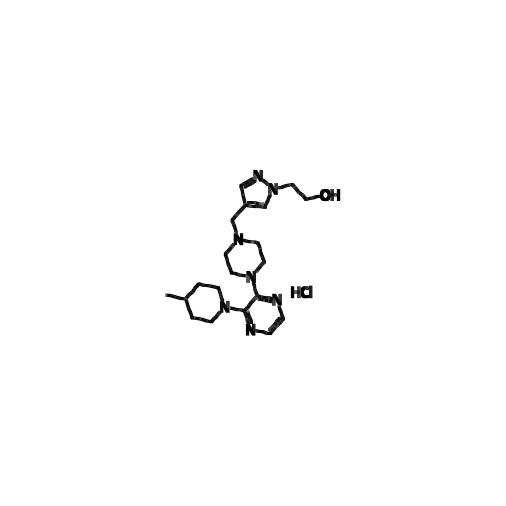 CC1CCN(c2nccnc2N2CCN(Cc3cnn(CCO)c3)CC2)CC1.Cl